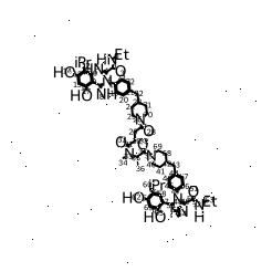 CCNC(=O)C(=N)N(C(=N)c1cc(C(C)C)c(O)cc1O)c1ccc(CC2CCN(C(=O)CCC(=O)N(C)[C@H](C)C(=O)N3CCC(Cc4ccc(-n5c(C(=O)NCC)nnc5-c5cc(C(C)C)c(O)cc5O)cc4)CC3)CC2)cc1